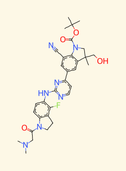 CN(C)CC(=O)N1CCc2c1ccc(Nc1nccc(-c3cc(C#N)c4c(c3)C(C)(CO)CN4C(=O)OC(C)(C)C)n1)c2F